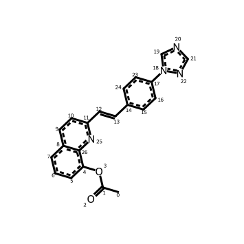 CC(=O)Oc1cccc2ccc(C=Cc3ccc(-n4cncn4)cc3)nc12